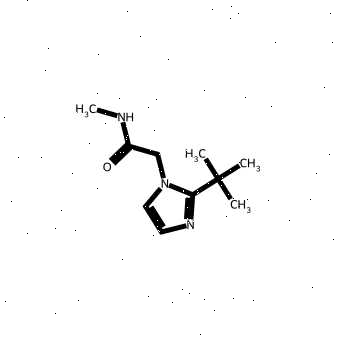 CNC(=O)Cn1ccnc1C(C)(C)C